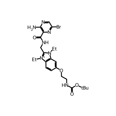 CCn1c(CNC(=O)c2nc(Br)cnc2N)[n+](CC)c2ccc(OCCNC(=O)OC(C)(C)C)cc21